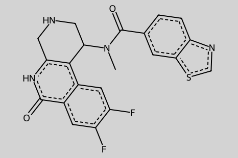 CN(C(=O)c1ccc2ncsc2c1)C1CNCc2[nH]c(=O)c3cc(F)c(F)cc3c21